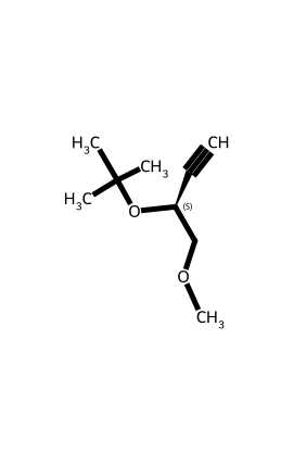 C#C[C@@H](COC)OC(C)(C)C